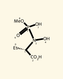 CC[C@@H](C(=O)O)N(O)P(=O)(O)OC